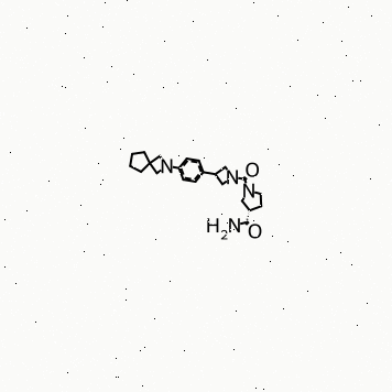 NC(=O)[C@H]1CCN(C(=O)N2CC(c3ccc(N4CC5(CCCC5)C4)cc3)C2)C1